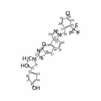 CN(C[C@H](O)c1ccc(O)cc1)C1=NC(=O)C(=Cc2ccc3c(cnn3Cc3ccc(Cl)cc3C(F)(F)F)c2)S1